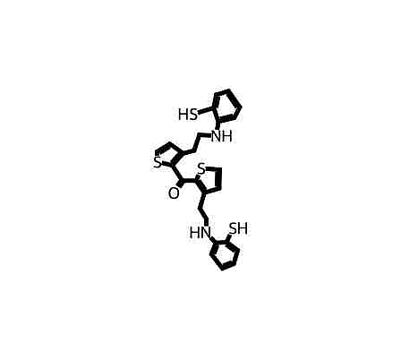 O=C(c1sccc1CCNc1ccccc1S)c1sccc1CCNc1ccccc1S